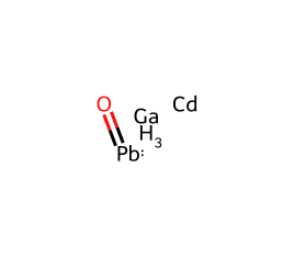 [Cd].[GaH3].[O]=[Pb]